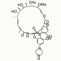 CO[C@H]1/C=C/O[C@@]2(C)Oc3cc(O)c4c(=O)c(c5oc6cc(N7CCNCC7)cc(O)c6nc-5c4c3C2=O)NC(=O)/C(C)=C\C=C\[C@H](C)[C@H](O)[C@@H](C)[C@@H](O)[C@@H](C)[C@H](OC(C)=O)[C@@H]1C